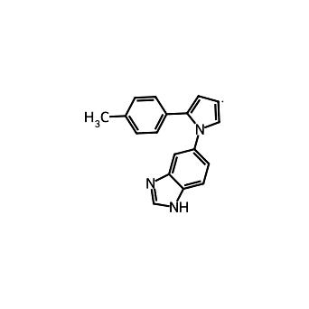 Cc1ccc(-c2c[c]cn2-c2ccc3[nH]cnc3c2)cc1